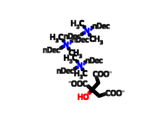 CCCCCCCCCC[N+](C)(C)CCCCCCCCCC.CCCCCCCCCC[N+](C)(C)CCCCCCCCCC.CCCCCCCCCC[N+](C)(C)CCCCCCCCCC.O=C([O-])CC(O)(CC(=O)[O-])C(=O)[O-]